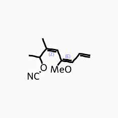 C=C/C=C(\C=C(\C)C(C)OC#N)OC